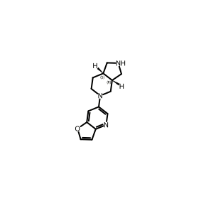 c1cc2ncc(N3CC[C@@H]4CNC[C@@H]4C3)cc2o1